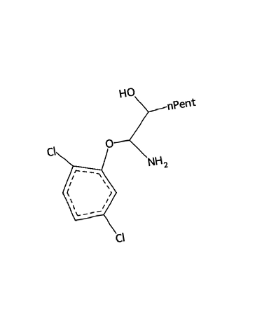 CCCCCC(O)C(N)Oc1cc(Cl)ccc1Cl